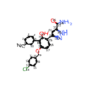 N#Cc1cccc(-c2c(OCc3ccc(Cl)cc3)ccc(-c3cc(C(N)=O)[nH]n3)c2O)c1